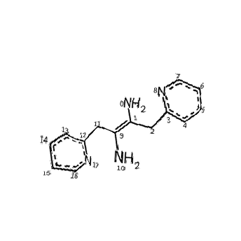 NC(Cc1ccccn1)=C(N)Cc1ccccn1